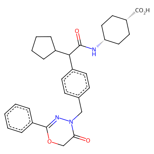 O=C(N[C@H]1CC[C@@H](C(=O)O)CC1)C(c1ccc(CN2N=C(c3ccccc3)OCC2=O)cc1)C1CCCC1